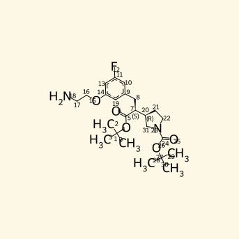 CC(C)(C)OC(=O)[C@@H](Cc1cc(F)cc(OCCN)c1)[C@H]1CCN(C(=O)OC(C)(C)C)C1